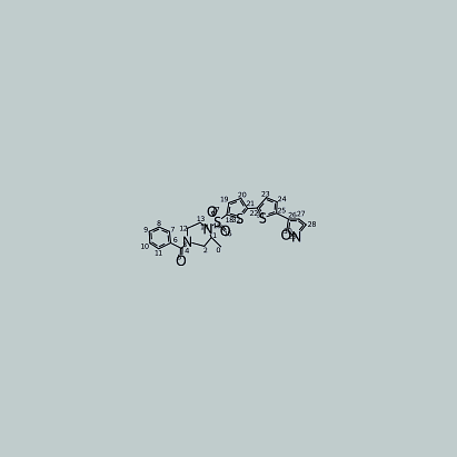 CC1CN(C(=O)c2ccccc2)CCN1S(=O)(=O)c1ccc(-c2ccc(-c3ccno3)s2)s1